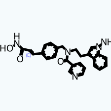 Nn1cc(CCN(Cc2ccc(/C=C/C(=O)NO)cc2)C(=O)c2cccnc2)c2ccccc21